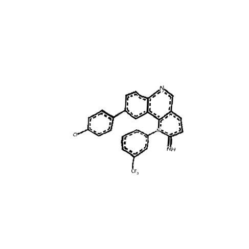 N=c1ccc2cnc3ccc(-c4ccc(Cl)cc4)cc3c2n1-c1cccc(C(F)(F)F)c1